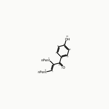 CCCCC/C=C(\CCCCC)C(=O)c1ccc(O)cc1